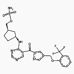 NS(=O)(=O)OC[C@@H]1CC[C@H](Nc2ncncc2C(=O)c2cc(COc3ccccc3C(F)(F)F)cs2)C1